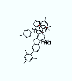 Cl.Cl.[CH2]=[Ti]([C]1=CC=CC1)([c]1ccc(C)cc1)([c]1ccc(C)cc1)[c]1c(-c2c(C)cc(C)cc2C)ccc2c1Cc1cc(-c3c(C)cc(C)cc3C)ccc1-2